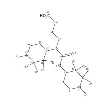 CN1CCC(OC(=O)C(CCCC(=O)O)C2CCN(C)C(C)(C)C2(C)C)C(C)(C)C1(C)C